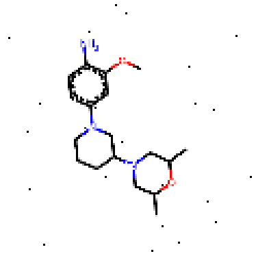 COc1cc(N2CCCC(N3CC(C)OC(C)C3)C2)ccc1N